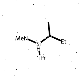 CCC(C)[SiH](NC)C(C)C